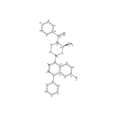 C[C@H]1CN(c2nnc(-c3ccccc3)c3cc(F)ccc23)CCN1C(=O)c1ccccc1